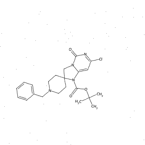 CC(C)(C)OC(=O)N1c2cc(Cl)nc(=O)n2CC12CCN(Cc1ccccc1)CC2